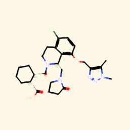 Cc1c(COc2ccc(Cl)c3c2[C@@H](CN2CCCC2=O)N(C(=O)[C@@H]2CCCC[C@@H]2C(=O)O)CC3)nnn1C